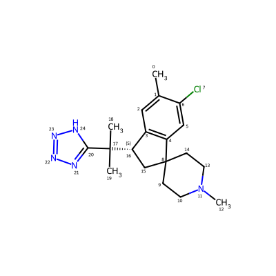 Cc1cc2c(cc1Cl)C1(CCN(C)CC1)C[C@@H]2C(C)(C)c1nnn[nH]1